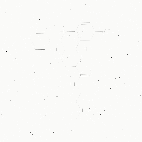 CN(C)CCNC(=O)C1CC[C@@H]2[C@H](O1)c1cc(C(F)(F)F)ccc1N[C@H]2C1C=CC=CC1